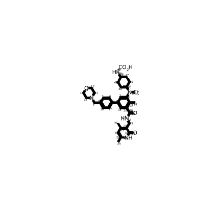 CCN(c1cc(-c2ccc(CN3CCOCC3)cc2)cc(C(=O)NCc2c(C)cc(C)[nH]c2=O)c1C)C1CCC(NC(=O)O)CC1